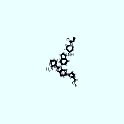 C=CC(=O)N1CCC(N[C@H]2CCc3cc(-n4c(-c5cccnc5N)nc5ccc(-n6ccc(COC)n6)nc54)ccc32)CC1